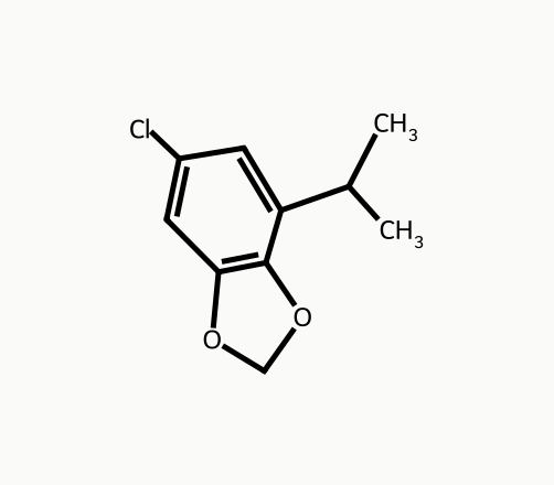 CC(C)c1cc(Cl)cc2c1OCO2